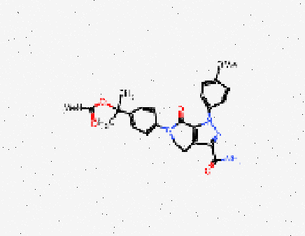 CNC(=O)OC(C)(C)c1ccc(N2CCc3c(C(N)=O)nn(-c4ccc(OC)cc4)c3C2=O)cc1